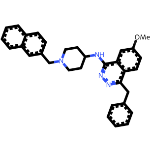 COc1ccc2c(Cc3ccccc3)nnc(NC3CCN(Cc4ccc5ccccc5c4)CC3)c2c1